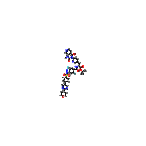 CCC(CC)OC(=O)[C@H](Cc1ccc(-n2c(=O)c3ccncc3n(C)c2=O)nc1)NC(=O)c1cc(F)c(NS(=O)(=O)c2ccc(-c3cnc(C4CCOCC4)nc3)cc2)cc1F